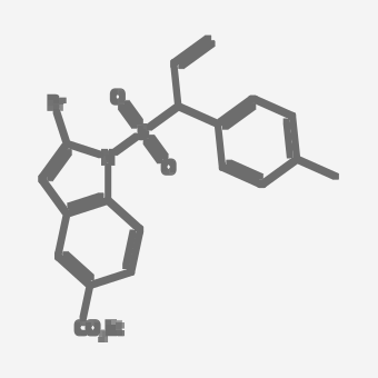 C=CC(c1ccc(C)cc1)S(=O)(=O)n1c(Br)cc2cc(C(=O)OCC)ccc21